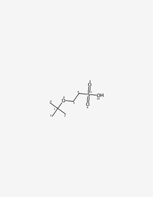 CC(C)(C)OCCS(=O)(=O)O